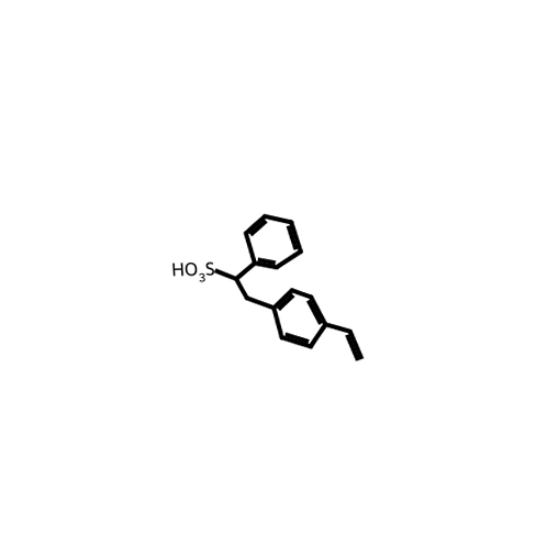 C=Cc1ccc(CC(c2ccccc2)S(=O)(=O)O)cc1